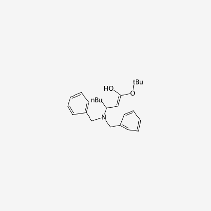 CCCCC(/C=C(\O)OC(C)(C)C)N(Cc1ccccc1)Cc1ccccc1